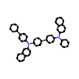 c1ccc(-c2ccc(N(c3ccc(-c4ccc(N(c5ccccc5)c5ccc6ccccc6c5)cc4)cc3)c3ccc4ccccc4c3)cc2)cc1